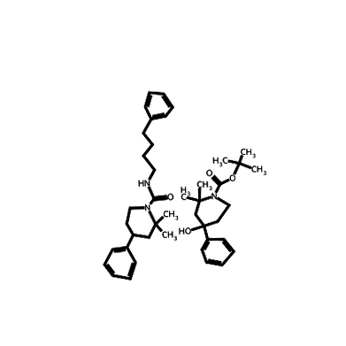 CC(C)(C)OC(=O)N1CCC(O)(c2ccccc2)CC1(C)C.CC1(C)CC(c2ccccc2)CCN1C(=O)NCCCCc1ccccc1